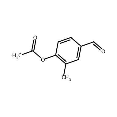 [CH2]C(=O)Oc1ccc(C=O)cc1C